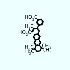 CC(=CC(=O)O)/C(=C\c1ccc2cc3c(cc2c1)C(C)(C)CCC3(C)C)c1cccc(C(=O)O)c1